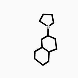 C1CCC2CC(N3CCCC3)CCC2C1